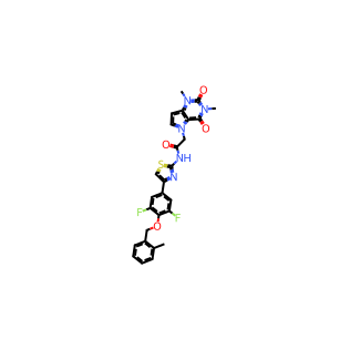 Cc1ccccc1COc1c(F)cc(-c2csc(NC(=O)Cn3ccc4c3c(=O)n(C)c(=O)n4C)n2)cc1F